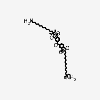 CCC(N)(CC)CCCCCCCCCCCCN1C(=O)c2ccc(C(=O)c3ccc4c(c3)C(=O)N(C(CC)(CC)CCCCCCCCCCCCN)C4=O)cc2C1=O